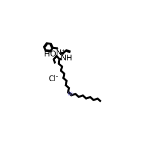 C=CC1=[N+](Cc2ccccc2)C(O)(CC)C(CCCCCCCC/C=C\CCCCCCCC)N1.[Cl-]